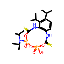 CC(C)c1ccc2c(c1C(C)C)NC(=S)OP(=O)(N(C(C)C)C(C)C)OP(=O)(O)OC(=S)N2